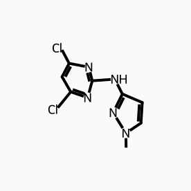 Cn1ccc(Nc2nc(Cl)cc(Cl)n2)n1